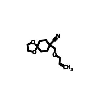 C=CCOCC1(C#N)CCC2(CC1)OCCO2